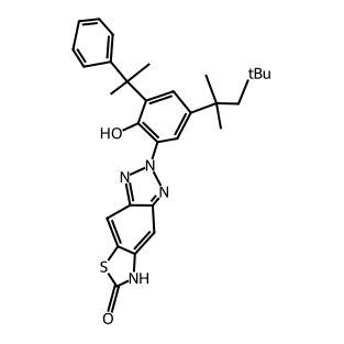 CC(C)(C)CC(C)(C)c1cc(-n2nc3cc4[nH]c(=O)sc4cc3n2)c(O)c(C(C)(C)c2ccccc2)c1